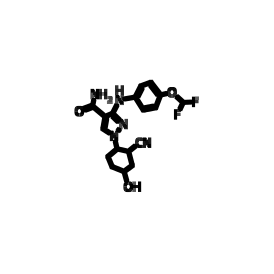 N#CC1CC(O)CCC1n1cc(C(N)=O)c(Nc2ccc(OC(F)F)cc2)n1